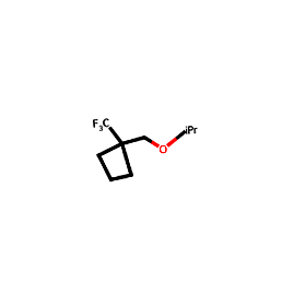 CC(C)OCC1(C(F)(F)F)CCC1